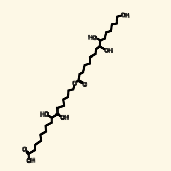 O=C(O)CCCCCCCC(O)C(O)CCCCCCOC(=O)CCCCCCCC(O)C(O)CCCCCCO